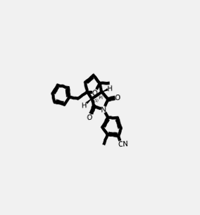 Cc1cc(N2C(=O)[C@@H]3[C@H](C2=O)C2(Cc4ccccc4)C=CC3(C)O2)ccc1C#N